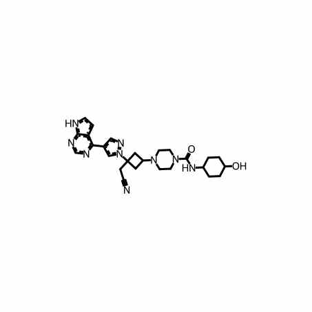 N#CCC1(n2cc(-c3ncnc4[nH]ccc34)cn2)CC(N2CCN(C(=O)NC3CCC(O)CC3)CC2)C1